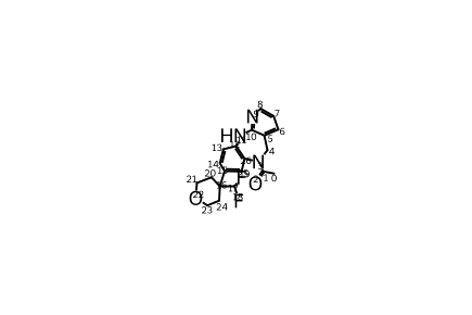 CC(=O)N1Cc2cccnc2Nc2ccc(C3(C(F)F)CCOCC3)cc21